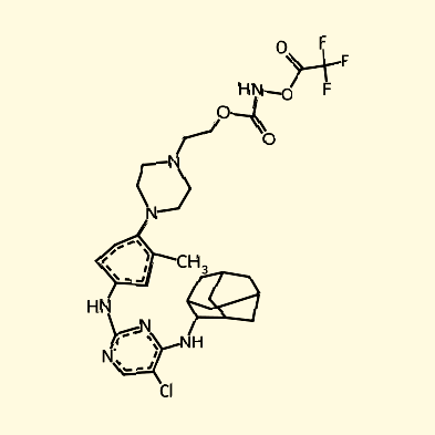 Cc1cc(Nc2ncc(Cl)c(NC3C4CC5CC(C4)CC3C5)n2)ccc1N1CCN(CCOC(=O)NOC(=O)C(F)(F)F)CC1